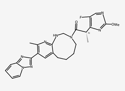 COc1ncc(F)c([C@H](C)C(=O)N2CCCCc3cc(-c4nc5ccccn5n4)c(C)nc3NC2)n1